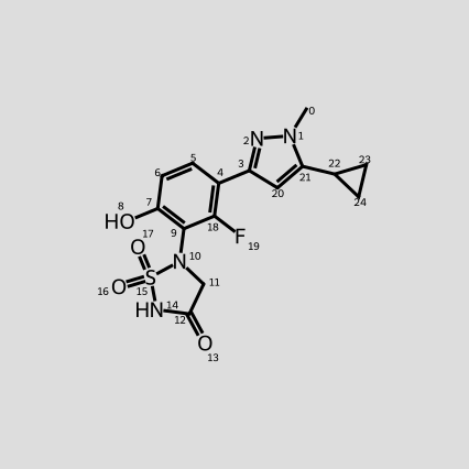 Cn1nc(-c2ccc(O)c(N3CC(=O)NS3(=O)=O)c2F)cc1C1CC1